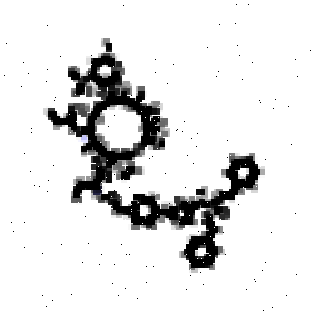 CCC(=O)/N=C1\[C@H](C)C[C@@](C)(O)[C@H](O[C@@H]2O[C@H](C)C[C@H](N(C)C)[C@H]2O)[C@@H](C)C(=O)[C@](C)(F)C(=O)O[C@H](CC)[C@@](C)(O)[C@H](OC/C(CC)=N\OCc2ccc(-c3nc(NP(=O)(OCc4ccccc4)OCc4ccccc4)cs3)cn2)[C@H]1C